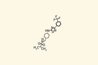 CC(C)S(=O)(=O)NC[C@H]1CC[C@H](Nc2nc(-c3cccc(C(F)(F)F)c3)no2)CC1